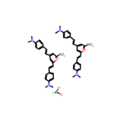 CN(C)c1ccc(C=Cc2cc(C=Cc3ccc(N(C)C)cc3)[o+]c([N+](=O)[O-])c2)cc1.CN(C)c1ccc(C=Cc2cc(C=Cc3ccc(N(C)C)cc3)[o+]c([N+](=O)[O-])c2)cc1.[O-]B([O-])F